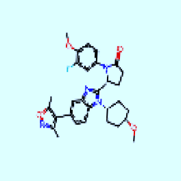 COc1ccc(N2C(=O)CC[C@H]2c2nc3cc(-c4c(C)noc4C)ccc3n2[C@H]2CC[C@H](OC)CC2)cc1F